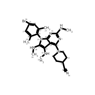 CNc1nc(N2CCC(C#N)CC2)c2c(NC)c(NC)n(-c3c(C)cc(Br)cc3C)c2n1